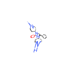 CN1CCC(N2C[C@@H](c3ccccc3)N(C3CCNCC3)C2=O)CC1